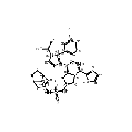 O=S(=O)(NC1CC2CCC(C1)C2O)N[C@H]1CC2=C(c3ccn(C(F)F)n3)[C@H](c3ccc(F)cc3Cl)N=C(c3nccs3)N2C1